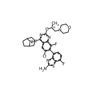 C[C@@H](CN1CCOCC1)Oc1nc(N2CC3CCC(C2)N3)c2cc(Cl)c(-c3ccc(F)c4sc(N)nc34)c(F)c2n1